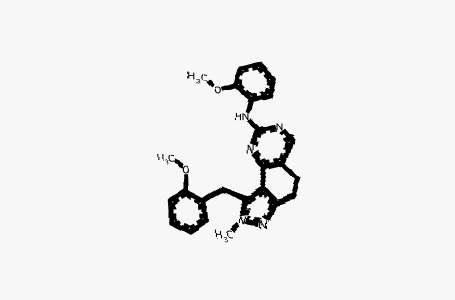 COc1ccccc1Cc1c2c(nn1C)CCc1cnc(Nc3ccccc3OC)nc1-2